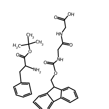 CC(C)(C)OC(=O)C(N)Cc1ccccc1.O=C(O)CNC(=O)CNC(=O)OCC1c2ccccc2-c2ccccc21